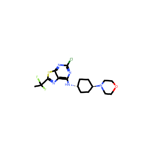 CC(F)(F)c1nc2c(N[C@H]3CC[C@H](N4CCOCC4)CC3)nc(Cl)nc2s1